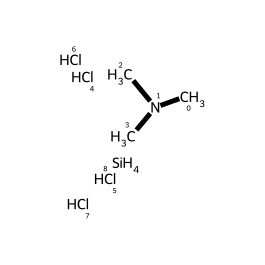 CN(C)C.Cl.Cl.Cl.Cl.[SiH4]